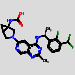 Cc1nc(N[C@H](C)c2cccc(C(F)F)c2F)c2cc(N3CC4CC4(NC(=O)O)C3)ncc2n1